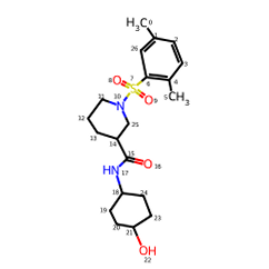 Cc1ccc(C)c(S(=O)(=O)N2CCCC(C(=O)NC3CCC(O)CC3)C2)c1